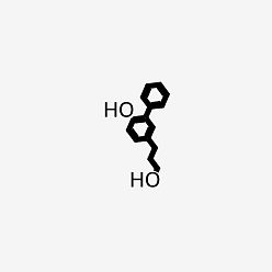 OCCCc1ccc(O)c(-c2ccccc2)c1